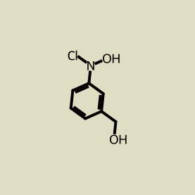 OCc1cccc(N(O)Cl)c1